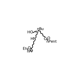 CCCCCC(=O)OCCCCCC(CCCC)N(CCO)CCCNCCCCCC(=O)OC(CC)CCC